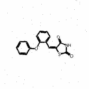 O=C1NC(=O)/C(=C\c2ccccc2Oc2ccccc2)S1